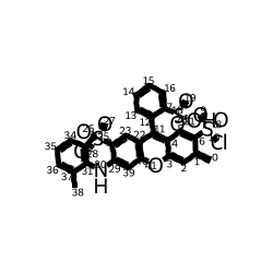 C=c1cc2c(cc1S(=O)(=O)Cl)=C(c1ccccc1S(=O)(=O)O)c1cc(S(=O)(=O)Cl)c(Nc3c(C)cccc3C)cc1O2